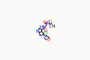 N#CC1CSCN1C(=O)CNC(=O)c1ccnc2ccc(N3CCOCC3)c(Cl)c12